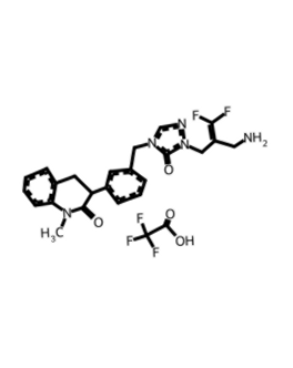 CN1C(=O)C(c2cccc(Cn3cnn(CC(CN)=C(F)F)c3=O)c2)Cc2ccccc21.O=C(O)C(F)(F)F